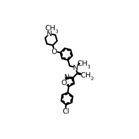 C=C(c1cc(-c2ccc(Cl)cc2)on1)N(C)Cc1cccc(OC2CCN(C)CC2)c1